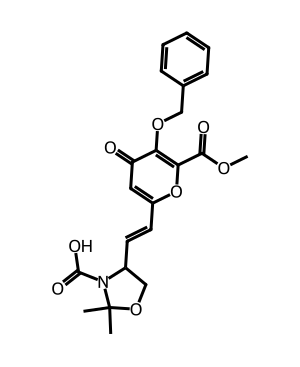 COC(=O)c1oc(/C=C/C2COC(C)(C)N2C(=O)O)cc(=O)c1OCc1ccccc1